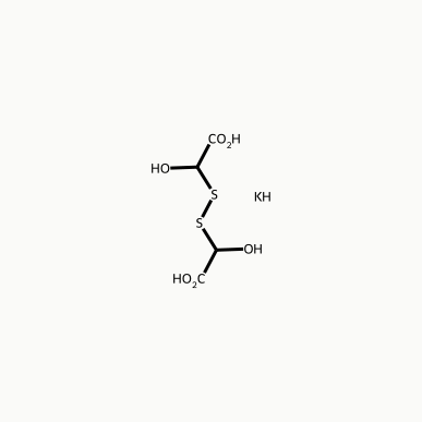 O=C(O)C(O)SSC(O)C(=O)O.[KH]